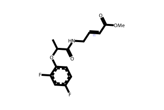 COC(=O)/C=C/CNC(=O)C(C)Oc1ccc(F)cc1F